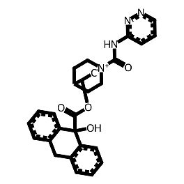 O=C(OC1C[N+]2(C(=O)Nc3cccnn3)CCC1CC2)C1(O)c2ccccc2Cc2ccccc21